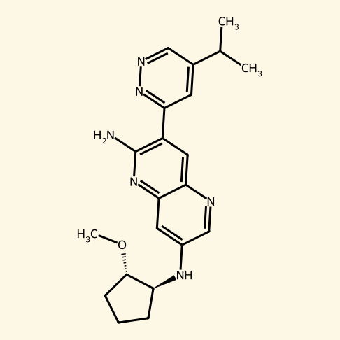 CO[C@H]1CCC[C@@H]1Nc1cnc2cc(-c3cc(C(C)C)cnn3)c(N)nc2c1